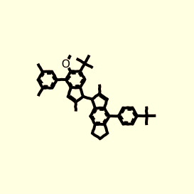 COc1c(C(C)(C)C)cc2c(c1-c1cc(C)cc(C)c1)C=C(C)C2C1C(C)=Cc2c1cc1c(c2-c2ccc(C(C)(C)C)cc2)CCC1